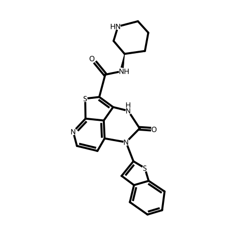 O=C(N[C@@H]1CCCNC1)c1sc2nccc3c2c1NC(=O)N3c1cc2ccccc2s1